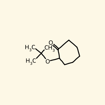 CC(C)(C)OC1CCCCCC1=O